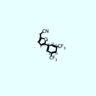 N#CCc1ccc(-c2cc(C(F)(F)F)cc(C(F)(F)F)c2)o1